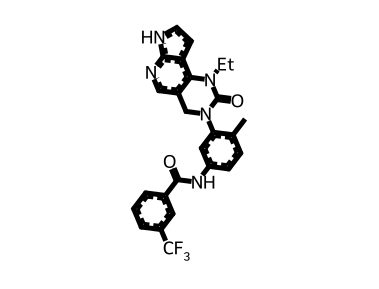 CCN1C(=O)N(c2cc(NC(=O)c3cccc(C(F)(F)F)c3)ccc2C)Cc2cnc3[nH]ccc3c21